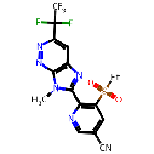 CCS(=O)(=O)c1cc(C#N)cnc1-c1nc2cc(C(F)(F)C(F)(F)F)nnc2n1C